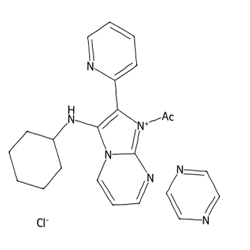 CC(=O)[n+]1c(-c2ccccn2)c(NC2CCCCC2)n2cccnc21.[Cl-].c1cnccn1